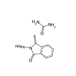 CCCCCCN1C(=O)c2ccccc2C1=S.NC(N)=O